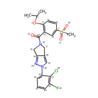 CC(C)Oc1ccc(S(C)(=O)=O)cc1C(=O)N1Cc2cn(-c3cccc(F)c3Cl)nc2C1